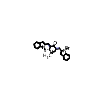 CN1C/C(=C\c2cc3ccccc3n2Br)C(=O)/C(=C/c2cc3ccccc3n2Br)C1